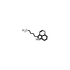 CCCCCc1[nH]c2cccc3c2c1C=CS3